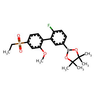 CCS(=O)(=O)c1ccc(-c2cc(B3OC(C)(C)C(C)(C)O3)ccc2F)c(OC)c1